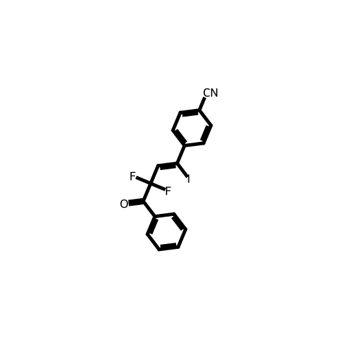 N#Cc1ccc(C(I)=CC(F)(F)C(=O)c2ccccc2)cc1